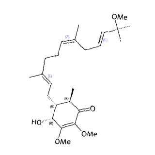 COC1=C(OC)[C@H](O)[C@H](C/C=C(\C)CC/C=C(/C)C/C=C/C(C)(C)OC)[C@@H](C)C1=O